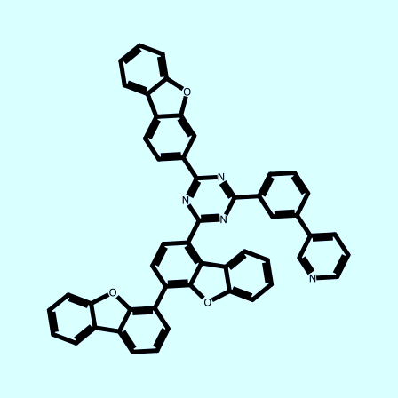 c1cncc(-c2cccc(-c3nc(-c4ccc5c(c4)oc4ccccc45)nc(-c4ccc(-c5cccc6c5oc5ccccc56)c5oc6ccccc6c45)n3)c2)c1